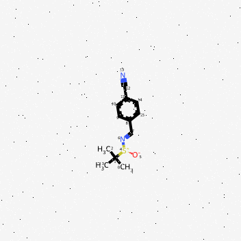 CC(C)(C)[S@@+]([O-])/N=C/c1ccc(C#N)cc1